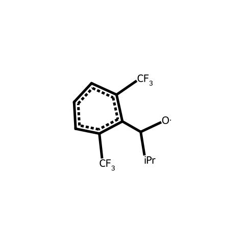 CC(C)C([O])c1c(C(F)(F)F)cccc1C(F)(F)F